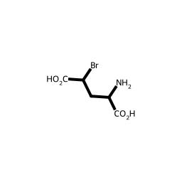 NC(CC(Br)C(=O)O)C(=O)O